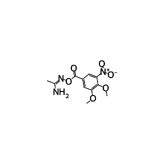 COc1cc(C(=O)ON=C(C)N)cc([N+](=O)[O-])c1OC